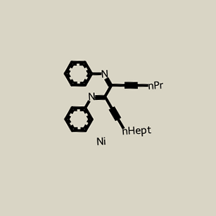 CCCC#CC(=Nc1ccccc1)C(C#CCCCCCCC)=Nc1ccccc1.[Ni]